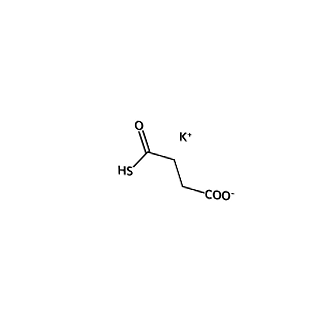 O=C([O-])CCC(=O)S.[K+]